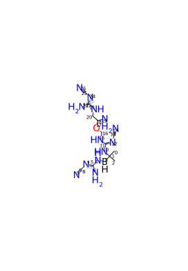 CC(C)(BN/C(N)=N/C#N)NC(=NC#N)NCOC(N)CN/C(N)=N/C#N